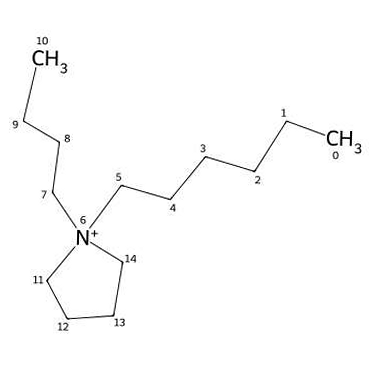 CCCCCC[N+]1(CCCC)CCCC1